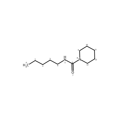 CCCCCNC(=O)N1CCCCC1